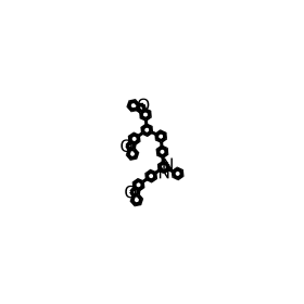 c1ccc(-c2nc(-c3ccc(-c4cccc(-c5cc(-c6ccc7oc8ccccc8c7c6)cc(-c6ccc7oc8ccccc8c7c6)c5)c4)cc3)cc(-c3ccc(-c4ccc5oc6ccccc6c5c4)cc3)n2)cc1